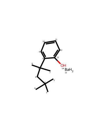 CC(C)(C)CC(C)(C)c1ccccc1O.[BaH2]